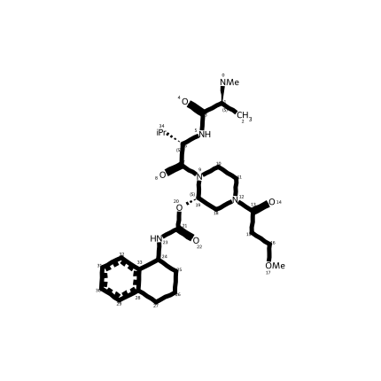 CN[C@@H](C)C(=O)N[C@H](C(=O)N1CCN(C(=O)CCOC)C[C@@H]1OC(=O)NC1CCCc2ccccc21)C(C)C